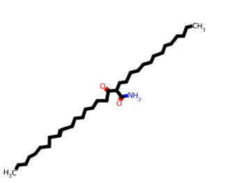 CCCCCCCCC=CCCCCCCCC(=O)C(CCCCCCCCCCCCCC)C(N)=O